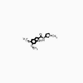 COc1cc2cc(C(=O)NC3CCN(C)C3)[nH]c2cc1OC